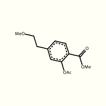 COCCc1ccc(C(=O)OC)c(OC(C)=O)c1